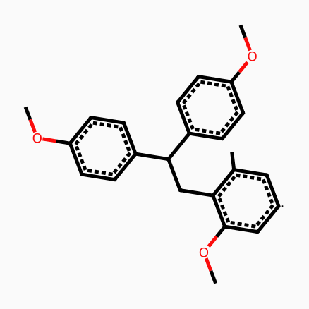 COc1ccc(C(Cc2c(C)c[c]cc2OC)c2ccc(OC)cc2)cc1